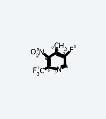 Cc1c(F)cnc(C(F)(F)F)c1[N+](=O)[O-]